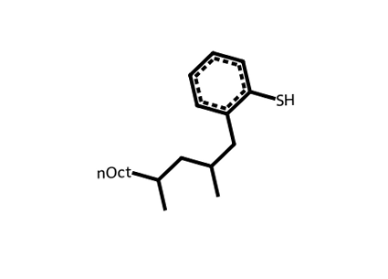 CCCCCCCCC(C)CC(C)Cc1ccccc1S